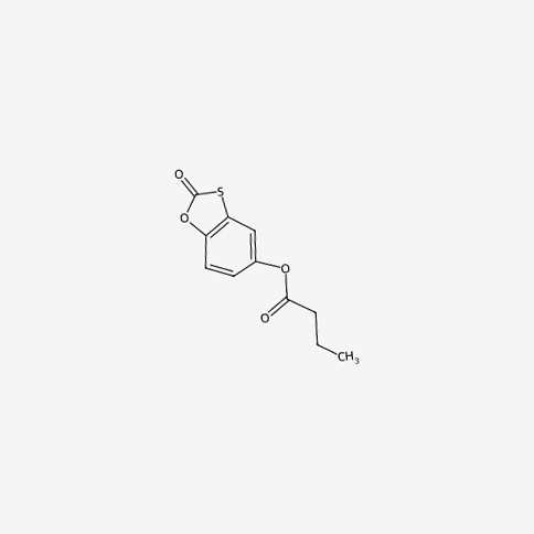 CCCC(=O)Oc1ccc2oc(=O)sc2c1